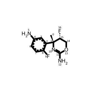 C[C@]1(c2cc(N)ccc2F)N=C(N)OC[C@H]1F